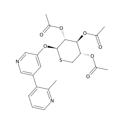 CC(=O)O[C@@H]1[C@@H](OC(C)=O)[C@H](OC(C)=O)CS[C@H]1Oc1cncc(-c2cccnc2C)c1